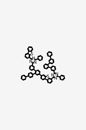 c1ccc(-c2ccc(-c3cc(-c4ccc5c(c4)sc4c(-c6nc(-c7ccccc7)nc(-c7cccc(-c8ccccc8-c8cccc(-c9ccccc9)c8)c7)n6)cccc45)ccc3-c3cccc(-c4nc(-c5ccccc5)nc(-c5cccc6c5sc5ccccc56)n4)c3)cc2)cc1